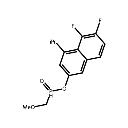 COC[PH](=O)Oc1cc(C(C)C)c2c(F)c(F)ccc2c1